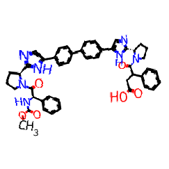 COC(=O)N[C@@H](C(=O)N1CCC[C@H]1c1ncc(-c2ccc(-c3ccc(-c4cnc([C@@H]5CCCN5C(=O)C(CC(=O)O)c5ccccc5)[nH]4)cc3)cc2)[nH]1)c1ccccc1